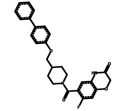 O=C1COc2cc(F)c(C(=O)N3CCC(COc4ccc(-c5ccccc5)cc4)CC3)cc2N1